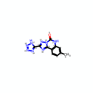 Cc1ccc2c(c1)[nH]c(=O)n1nc(-c3nnn[nH]3)nc21